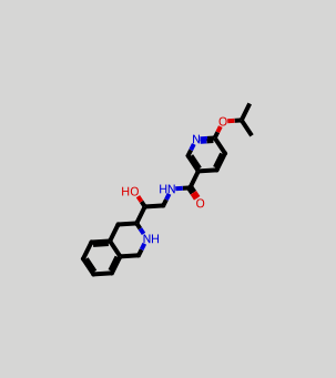 CC(C)Oc1ccc(C(=O)NCC(O)C2Cc3ccccc3CN2)cn1